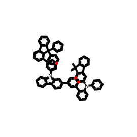 CC1(C)c2ccccc2-c2cc(N(c3ccccc3)c3ccccc3-c3cccc(-c4ccc5c6ccccc6n(-c6cccc(-c7cccc8c7C(c7ccccc7)(c7ccccc7)c7ccccc7-8)c6)c5c4)c3)ccc21